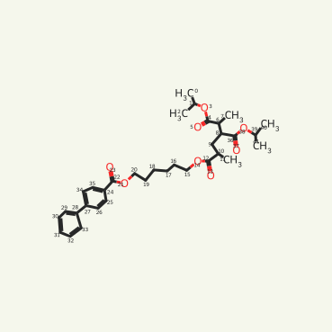 CC(C)OC(=O)C(C)C(CC(C)C(=O)OCCCCCCOC(=O)c1ccc(-c2ccccc2)cc1)C(=O)OC(C)C